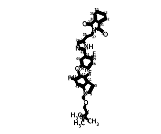 C[Si](C)(C)CCOCn1ccc2c(F)c(Oc3ccc(F)c(-c4ncc(CCN5C(=O)c6ccccc6C5=O)[nH]4)c3)c(F)cc21